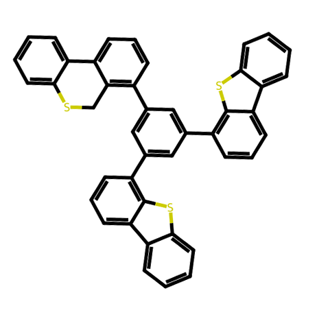 c1ccc2c(c1)SCc1c(-c3cc(-c4cccc5c4sc4ccccc45)cc(-c4cccc5c4sc4ccccc45)c3)cccc1-2